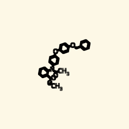 COC(=O)c1ccccc1N(C(C)=O)c1ccc(Oc2ccc(OCc3ccccc3)cc2)cc1